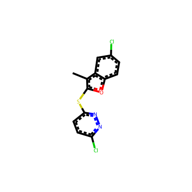 Cc1c(Sc2ccc(Cl)nn2)oc2ccc(Cl)cc12